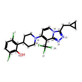 Oc1c(F)ccc(F)c1C1CCN(c2ccn3c(CC4CC4)nnc3c2C(F)(F)F)CC1